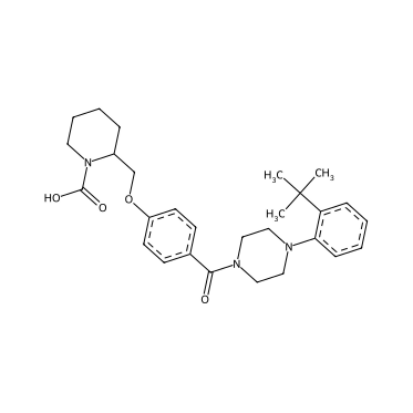 CC(C)(C)c1ccccc1N1CCN(C(=O)c2ccc(OCC3CCCCN3C(=O)O)cc2)CC1